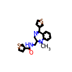 CN1c2ccccc2C(c2ccsc2)=NCC1CNC(=O)c1ccsc1